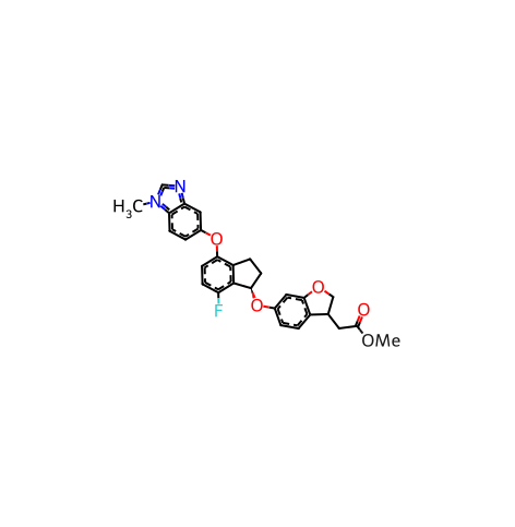 COC(=O)CC1COc2cc(O[C@@H]3CCc4c(Oc5ccc6c(c5)ncn6C)ccc(F)c43)ccc21